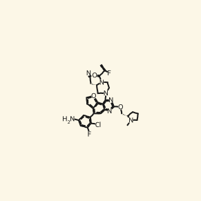 C=C(F)C(=O)N1CCN(c2nc(OC[C@@H]3CCCN3C)nc3cc(-c4cc(N)cc(F)c4Cl)c4ccoc4c23)C[C@@H]1CC#N